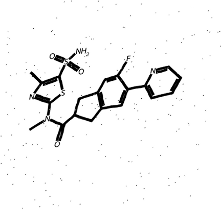 Cc1nc(N(C)C(=O)C2Cc3cc(F)c(-c4ccccn4)cc3C2)sc1S(N)(=O)=O